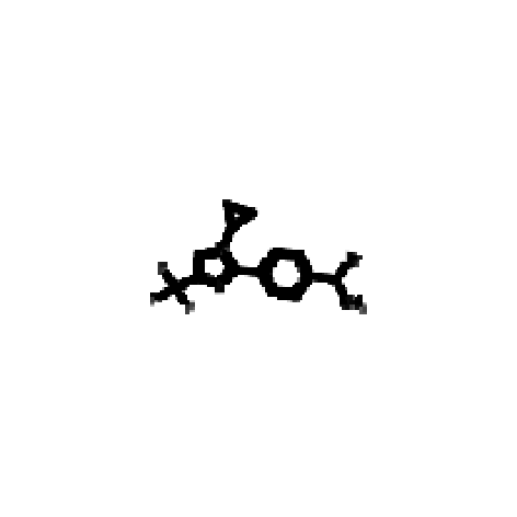 CC(Br)c1ccc(-c2nc(C(F)(F)F)cn2C2CC2)cc1